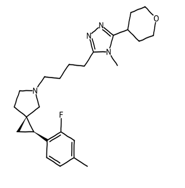 Cc1ccc([C@H]2C[C@]23CCN(CCCCc2nnc(C4CCOCC4)n2C)C3)c(F)c1